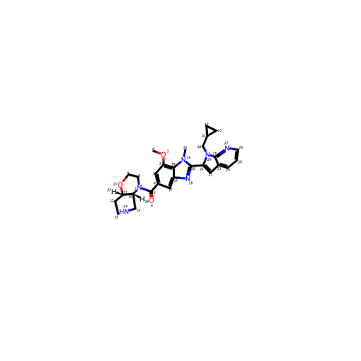 COc1cc(C(=O)N2CCO[C@H]3CCNC[C@H]32)cc2nc(-c3cc4cccnc4n3CC3CC3)n(C)c12